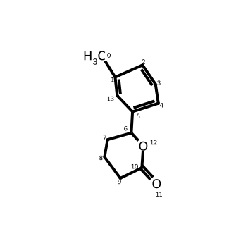 Cc1cccc(C2CCCC(=O)O2)c1